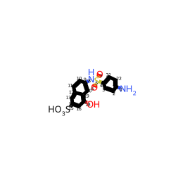 Nc1ccc(S(=O)(=O)Nc2ccc3cc(S(=O)(=O)O)cc(O)c3c2)cc1